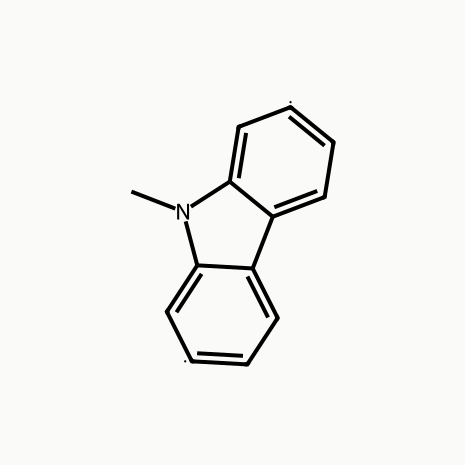 Cn1c2c[c]ccc2c2cc[c]cc21